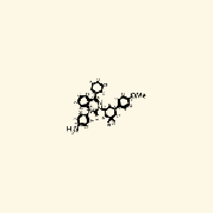 COc1ccc(C2CC(N3N=C(C4CCCCC4)c4ccccc4N(c4ccc(N)cc4)C3=O)CC(C)(C)C2)cc1